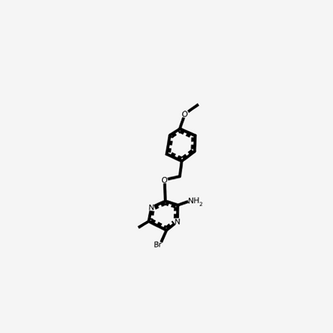 COc1ccc(COc2nc(C)c(Br)nc2N)cc1